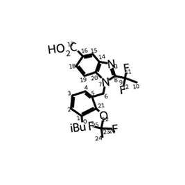 CCC(C)c1cccc(Cn2c(C(C)(F)F)nc3cc(C(=O)O)ccc32)c1OC(C)(F)F